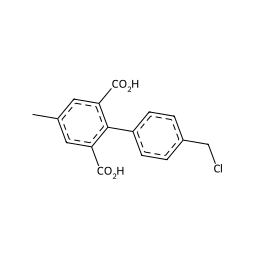 Cc1cc(C(=O)O)c(-c2ccc(CCl)cc2)c(C(=O)O)c1